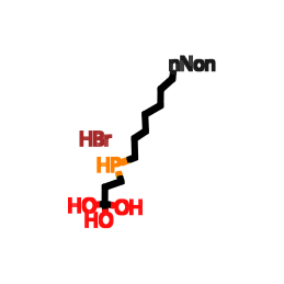 Br.CCCCCCCCCCCCCCCCPCCC(O)(O)O